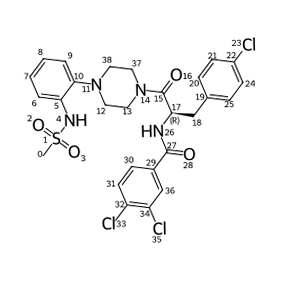 CS(=O)(=O)Nc1ccccc1N1CCN(C(=O)[C@@H](Cc2ccc(Cl)cc2)NC(=O)c2ccc(Cl)c(Cl)c2)CC1